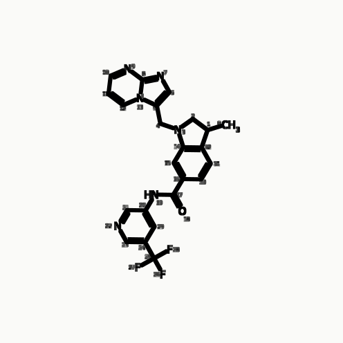 CC1CN(Cc2cnc3ncccn23)c2cc(C(=O)Nc3cncc(C(F)(F)F)c3)ccc21